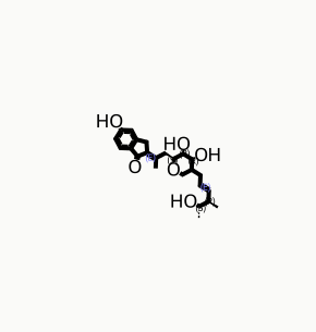 C/C(C[C@@H]1OCC(C/C=C/[C@@H](C)[C@H](C)O)[C@@H](O)[C@H]1O)=C1/Cc2cc(O)ccc2C1=O